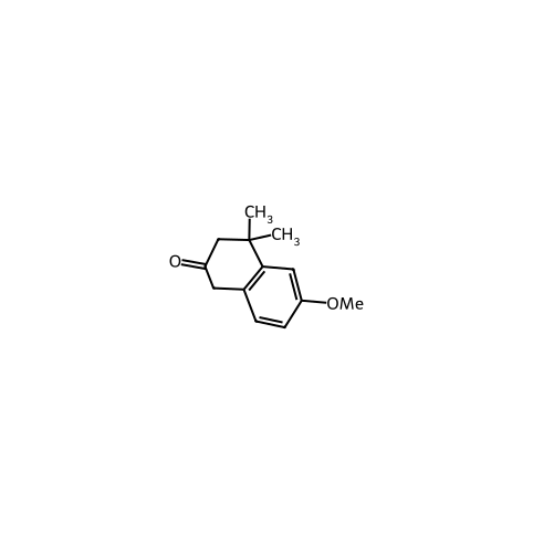 COc1ccc2c(c1)C(C)(C)CC(=O)C2